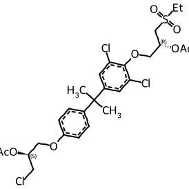 CCS(=O)(=O)C[C@@H](COc1c(Cl)cc(C(C)(C)c2ccc(OC[C@@H](CCl)OC(C)=O)cc2)cc1Cl)OC(C)=O